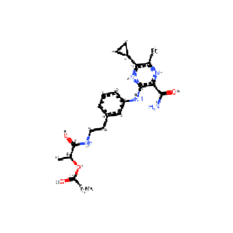 CCc1nc(C(N)=O)c(Nc2cccc(CCNC(=O)C(C)OC(=O)NC)c2)nc1C1CC1